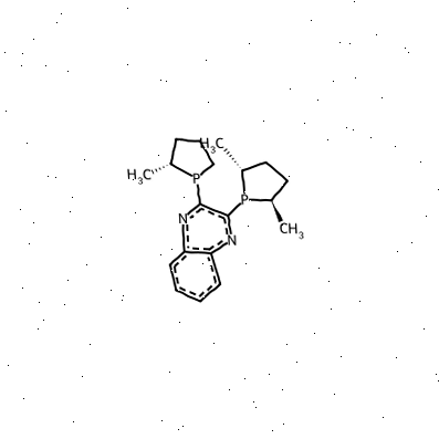 C[C@@H]1CCCP1c1nc2ccccc2nc1P1[C@H](C)CC[C@H]1C